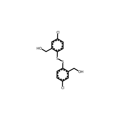 OCc1cc(Cl)ccc1SSc1ccc(Cl)cc1CO